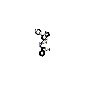 C(=N/Nc1cc(N2CCOCC2)n2nccc2n1)/c1c[nH]c2ccccc12